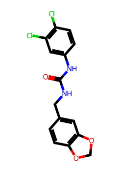 O=C(NCc1ccc2c(c1)OCO2)Nc1ccc(Cl)c(Cl)c1